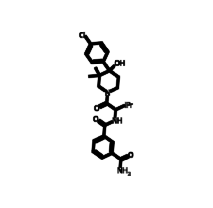 CC(C)C(NC(=O)c1cccc(C(N)=O)c1)C(=O)N1CCC(O)(c2ccc(Cl)cc2)C(C)(C)C1